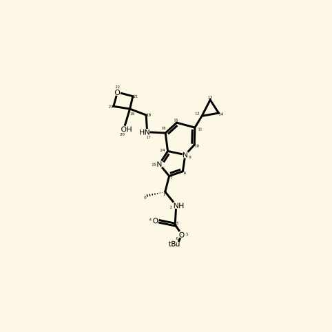 C[C@@H](NC(=O)OC(C)(C)C)c1cn2cc(C3CC3)cc(NCC3(O)COC3)c2n1